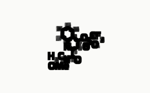 CON(C)C(=O)c1cc(OS(=O)(=O)C(F)(F)F)c2ccccc2n1